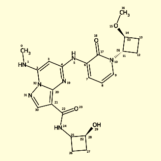 CNc1cc(Nc2cccn([C@H]3CC[C@@H]3OC)c2=O)nc2c(C(=O)NC3CC[C@@H]3O)cnn12